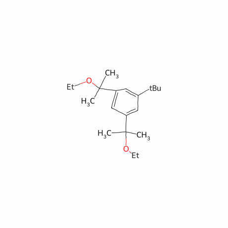 CCOC(C)(C)c1cc(C(C)(C)C)cc(C(C)(C)OCC)c1